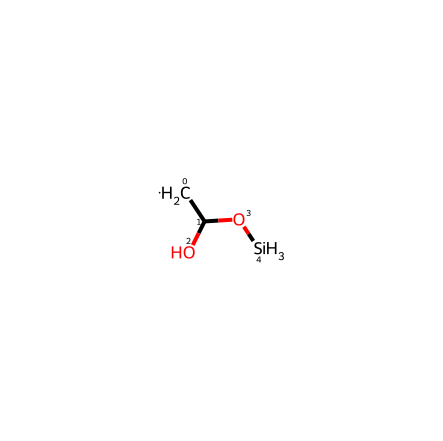 [CH2]C(O)O[SiH3]